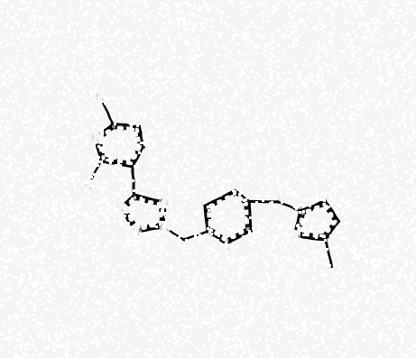 Cc1ccc(Cc2ccc(Cn3nnc(-c4ccc(N)nc4N)n3)cc2)o1